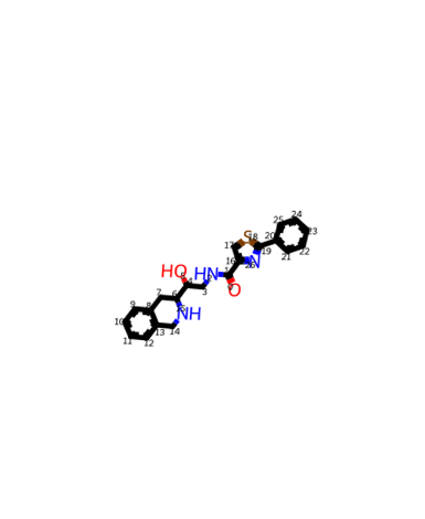 O=C(NCC(O)C1Cc2ccccc2CN1)c1csc(-c2ccccc2)n1